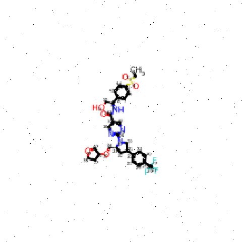 CCS(=O)(=O)c1ccc([C@H](CO)NC(=O)c2cnc(N3CC(c4ccc(C(F)(F)F)cc4)C[C@H]3CO[C@H]3CCOC3)nc2)cc1